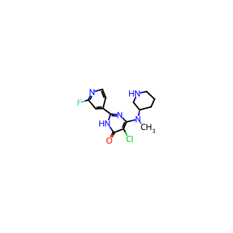 CN(c1nc(-c2ccnc(F)c2)[nH]c(=O)c1Cl)[C@@H]1CCCNC1